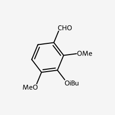 COc1ccc(C=O)c(OC)c1OCC(C)C